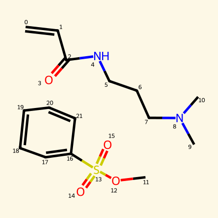 C=CC(=O)NCCCN(C)C.COS(=O)(=O)c1ccccc1